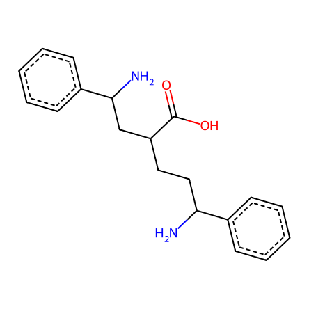 NC(CCC(CC(N)c1ccccc1)C(=O)O)c1ccccc1